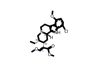 CC[C@@H]1CN2CCc3c([nH]c4c(Cl)ccc(OC)c34)[C@@H]2C[C@@H]1/C(=C\OC)C(=O)OC